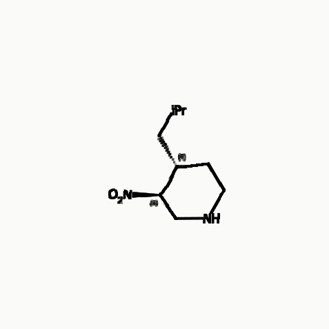 CC(C)C[C@@H]1CCNC[C@H]1[N+](=O)[O-]